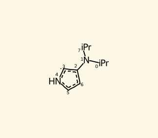 CC(C)N(c1[c][nH]cc1)C(C)C